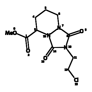 COC(=O)C1CCCn2c(=O)n(CCCl)c(=O)n21